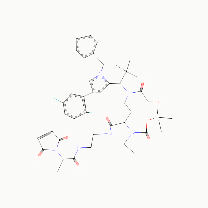 CCN(C(=O)O[Si](C)(C)C)C(CCN(C(=O)CO)C(c1cc(-c2cc(F)ccc2F)cn1Cc1ccccc1)C(C)(C)C)C(=O)NCCNC(=O)C(C)N1C(=O)C=CC1=O